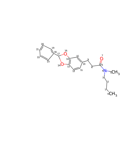 CCCCN(C)C(=O)CCc1ccc2c(c1)OC(c1ccccc1)O2